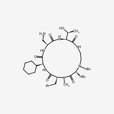 CCCC[C@H]1C(=O)N(C)[C@@H](CC(C)C)C(=O)N[C@@H](C2CCCCC2)C(=O)N[C@@H](CN)C(=O)N[C@@H]([C@H](C)O)C(=O)NCCN1CCCC